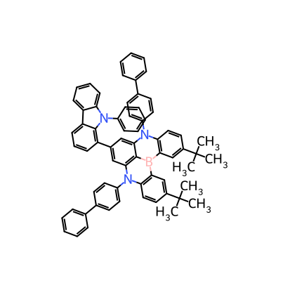 CC(C)(C)c1ccc2c(c1)B1c3cc(C(C)(C)C)ccc3N(c3ccc(-c4ccccc4)cc3)c3cc(-c4cccc5c6ccccc6n(-c6ccccc6)c45)cc(c31)N2c1ccc(-c2ccccc2)cc1